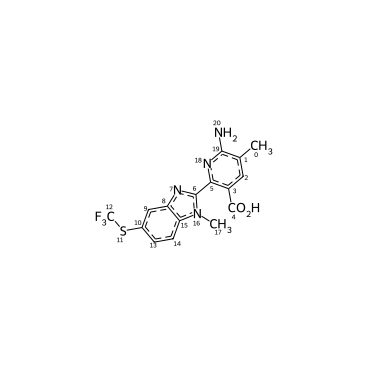 Cc1cc(C(=O)O)c(-c2nc3cc(SC(F)(F)F)ccc3n2C)nc1N